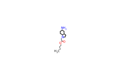 CCCCOC(=O)Cn1ccc2cc(N)ccc21